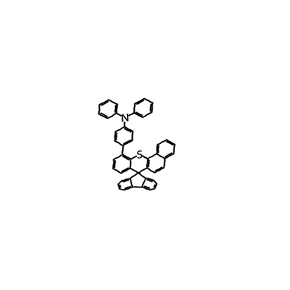 c1ccc(N(c2ccccc2)c2ccc(-c3cccc4c3Sc3c(ccc5ccccc35)C43c4ccccc4-c4ccccc43)cc2)cc1